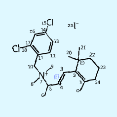 CC1=C(/C=C/C(C)[N+](C)(C)Cc2ccc(Cl)cc2Cl)C(C)(C)CCC1.[I-]